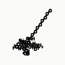 CC[C@@]1(O)C(=O)OCc2c1cc1n(c2=O)Cc2c-1nc1cc(F)c(C)c3c1c2[C@@H](NC(=O)[C@H](C)N(Cc1ccc(NC(=O)[C@H](C)NC(=O)[C@@H](N)C(C)C)cc1C(=O)NCCOCCOCCOCCOCCOCCOCCOCCOC)C(=O)O)CC3